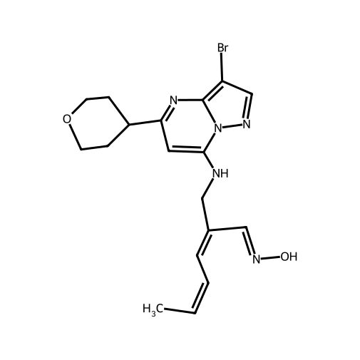 C\C=C/C=C(\C=N\O)CNc1cc(C2CCOCC2)nc2c(Br)cnn12